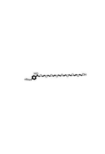 CCCCCCCCCc1ccc(C(O)COCCOCCOCCOCCOCCOCCOCCOCCO)cc1